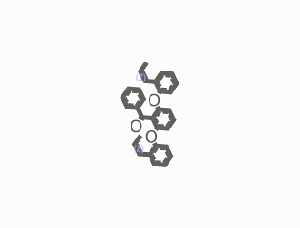 C/C=C\c1ccccc1Oc1cccc(Oc2ccccc2/C=C\C)c1C(=O)c1ccccc1